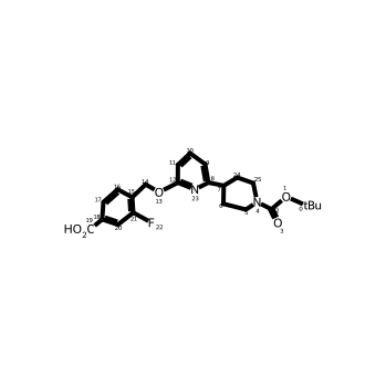 CC(C)(C)OC(=O)N1CCC(c2cccc(OCc3ccc(C(=O)O)cc3F)n2)CC1